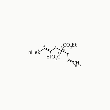 C=CCC(CC=CCCCCCC)(C(=O)OCC)C(=O)OCC